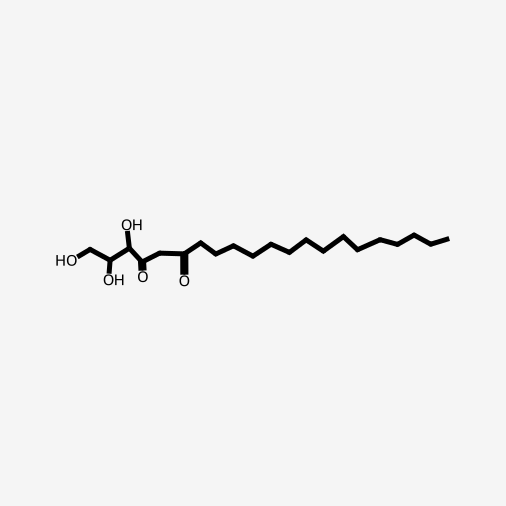 CCCCCCCCCCCCCCCC(=O)CC(=O)C(O)C(O)CO